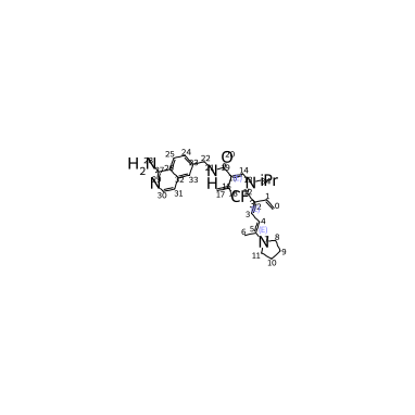 C=C/C(=C\C=C(/C)N1CCCC1)CN(/C=C(\C(=C)C(F)(F)F)C(=O)NCc1ccc2c(N)nccc2c1)C(C)C